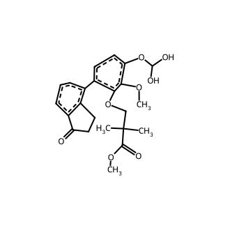 COC(=O)C(C)(C)COc1c(-c2cccc3c2CCC3=O)ccc(OC(O)O)c1OC